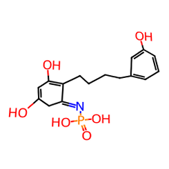 O=P(O)(O)N=C1CC(O)=CC(O)=C1CCCCc1cccc(O)c1